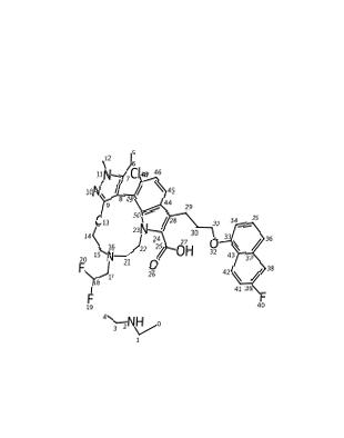 CCNCC.CCc1c2c(nn1C)CCCN(CC(F)F)CCn1c(C(=O)O)c(CCCOc3cccc4cc(F)ccc34)c3ccc(Cl)c-2c31